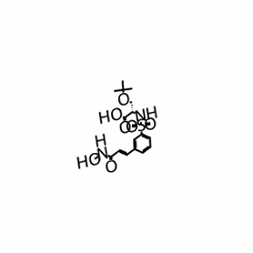 CC(C)(C)OC[C@H](NS(=O)(=O)c1cccc(/C=C/C(=O)NO)c1)C(=O)O